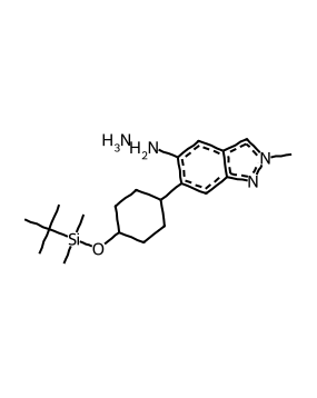 Cn1cc2cc(N)c(C3CCC(O[Si](C)(C)C(C)(C)C)CC3)cc2n1.N